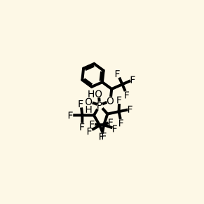 OP(O)(OC(c1ccccc1)C(F)(F)F)(C(C(F)(F)F)C(F)(F)F)C(C(F)(F)F)C(F)(F)F